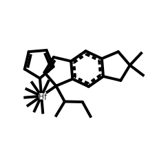 CCC(C)[C]1([Hf]([CH3])([CH3])([CH3])([CH3])([CH3])([CH3])([CH3])[CH]2C=CC=C2)C=Cc2cc3c(cc21)CC(C)(C)C3